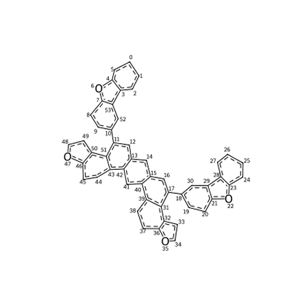 c1ccc2c(c1)oc1ccc(-c3cc4cc5cc(-c6ccc7oc8ccccc8c7c6)c6c7ccoc7ccc6c5cc4c4ccc5occc5c34)cc12